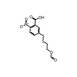 O=COCCSSc1ccc([N+](=O)[O-])c(C(=O)O)c1